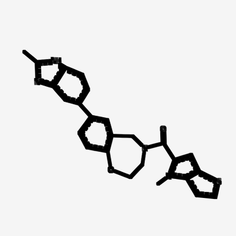 Cc1nc2cc(-c3ccc4c(c3)CN(C(=O)c3cc5sccc5n3C)CCO4)ccc2[nH]1